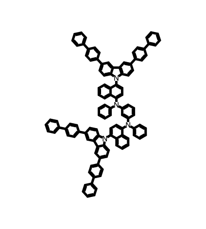 c1ccc(-c2ccc(-c3ccc4c(c3)c3cc(-c5ccc(-c6ccccc6)cc5)ccc3n4-c3ccc(N(c4ccccc4)c4cccc(N(c5ccccc5)c5ccc(-n6c7ccc(-c8ccc(-c9ccccc9)cc8)cc7c7cc(-c8ccc(-c9ccccc9)cc8)ccc76)c6ccccc56)c4)c4ccccc34)cc2)cc1